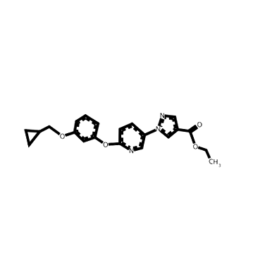 CCOC(=O)c1cnn(-c2ccc(Oc3cccc(OCC4CC4)c3)nc2)c1